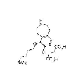 CSCCCCOc1c(Cl)ccc2c1CCNCC2.O=C(O)CCC(=O)O